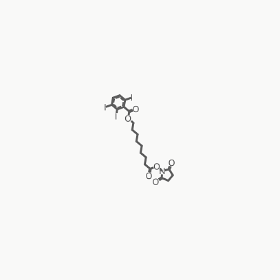 O=C(CCCCCCCCOC(=O)c1c(I)ccc(I)c1I)ON1C(=O)CCC1=O